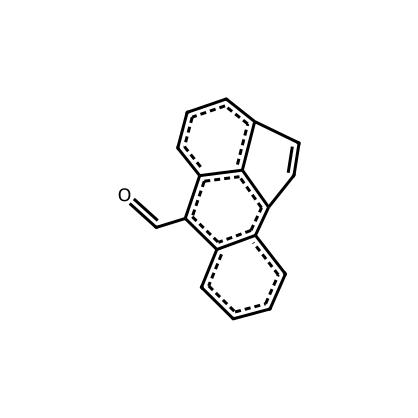 O=Cc1c2ccccc2c2c3c(cccc13)C=C2